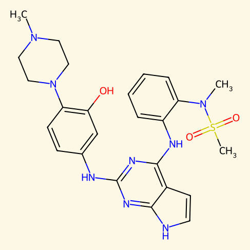 CN1CCN(c2ccc(Nc3nc(Nc4ccccc4N(C)S(C)(=O)=O)c4cc[nH]c4n3)cc2O)CC1